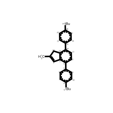 CC1=Cc2c(-c3ccc(C(C)(C)C)cc3)ccc(-c3ccc(C(C)(C)C)cc3)c2[CH]1